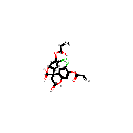 C=CC(=O)Oc1cc2c(cc1Cl)C1(CC(=O)O2)C(=O)Oc2cc(OC(=O)C=C)c(Cl)cc21